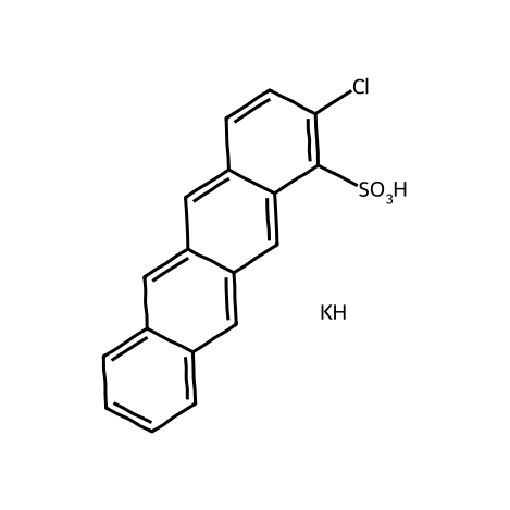 O=S(=O)(O)c1c(Cl)ccc2cc3cc4ccccc4cc3cc12.[KH]